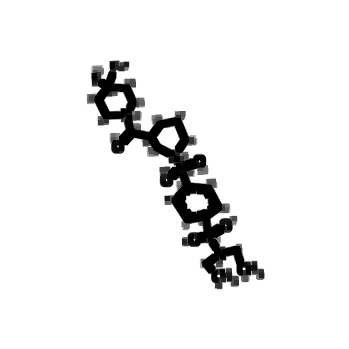 CCN(CC)S(=O)(=O)c1ccc(S(=O)(=O)N2CCCC(C(=O)N3CCC(F)(F)CC3)C2)cc1